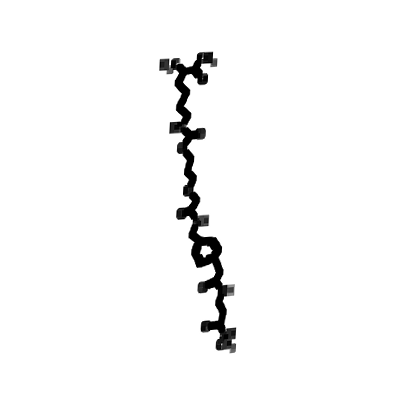 CNC(=O)CCNC(=O)Cc1ccc(CNC(=O)COCCCOC(=O)NCCCCC(C)C(C)=O)cc1